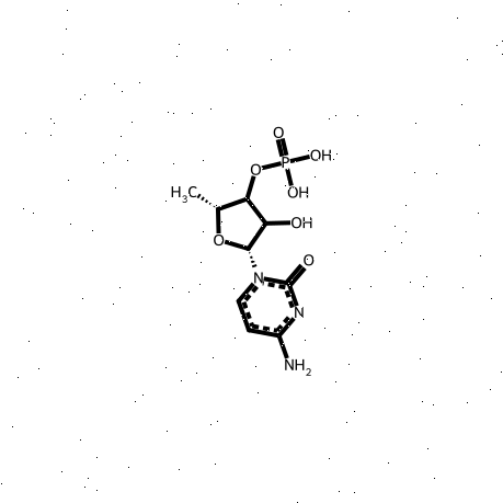 C[C@H]1O[C@@H](n2ccc(N)nc2=O)C(O)C1OP(=O)(O)O